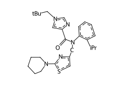 CC(C)c1ccccc1N(Cc1csc(N2CCCCC2)n1)C(=O)c1cn(CC(C)(C)C)cn1